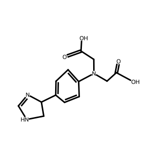 O=C(O)CN(CC(=O)O)c1ccc(C2CNC=N2)cc1